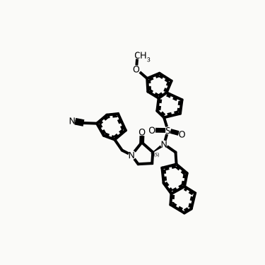 COc1ccc2ccc(S(=O)(=O)N(Cc3ccc4ccccc4c3)[C@H]3CCN(Cc4cccc(C#N)c4)C3=O)cc2c1